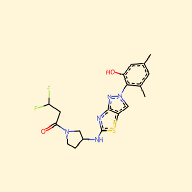 Cc1cc(C)c(-n2cc3sc(NC4CCN(C(=O)CC(F)F)C4)nc3n2)c(O)c1